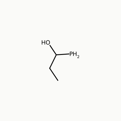 CCC(O)P